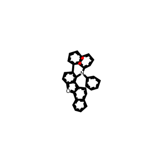 c1ccc(-c2ccc3oc4c5ccccc5ccc4c3c2N(c2ccccc2)c2ccccc2)cc1